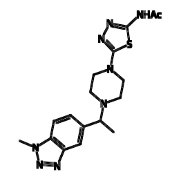 CC(=O)Nc1nnc(N2CCN(C(C)c3ccc4c(c3)nnn4C)CC2)s1